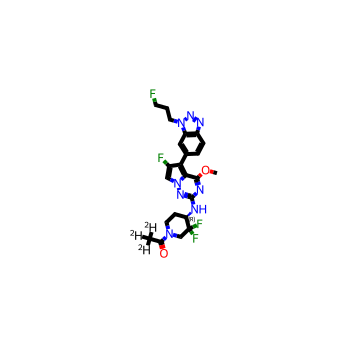 [2H]C([2H])([2H])C(=O)N1CC[C@@H](Nc2nc(OC)c3c(-c4ccc5nnn(CCCF)c5c4)c(F)cn3n2)C(F)(F)C1